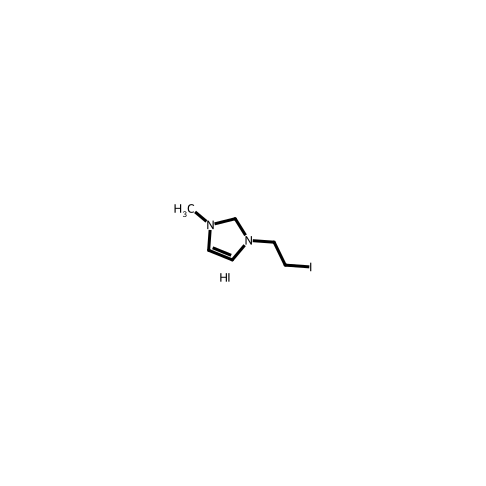 CN1C=CN(CCI)C1.I